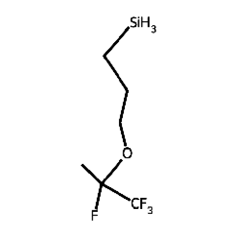 CC(F)(OCCC[SiH3])C(F)(F)F